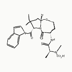 C[C@@H](C(=S)N[C@H]1CCS[C@H]2CC(C)(C)[C@@H](C(=O)n3ccc4ccccc43)N2C1=O)N(C)C(=O)O